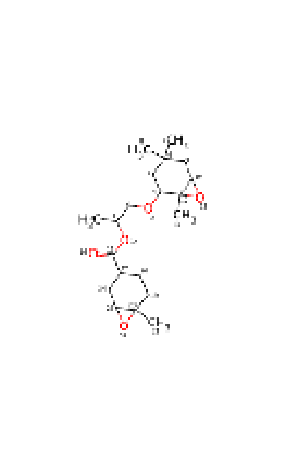 CC(COC1CC(C)(C)CC2OC12C)OC(=O)C1CCC2(C)OC2C1